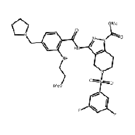 COCCNc1cc(CN2CCCC2)ccc1C(=O)Nc1nn(C(=O)OC)c2c1CN(S(=O)(=O)c1cc(F)cc(F)c1)CC2